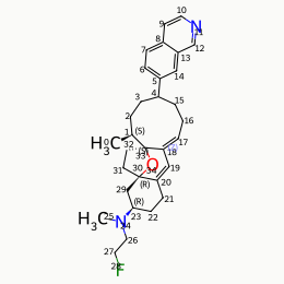 C[C@H]1CCC(c2ccc3ccncc3c2)CC/C=C2/C=C3CC[C@@H](N(C)CCF)C[C@]34CC[C@@]21O4